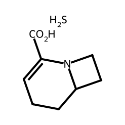 O=C(O)C1=CCCC2CCN12.S